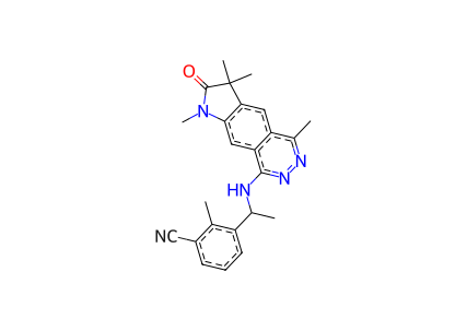 Cc1c(C#N)cccc1C(C)Nc1nnc(C)c2cc3c(cc12)N(C)C(=O)C3(C)C